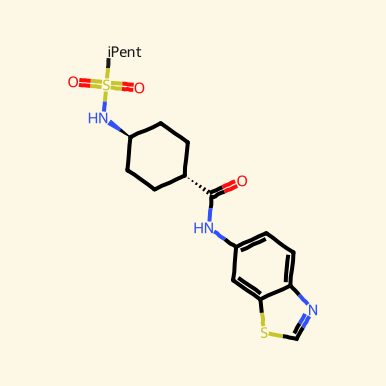 CCCC(C)S(=O)(=O)N[C@H]1CC[C@H](C(=O)Nc2ccc3ncsc3c2)CC1